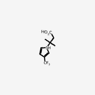 CC(C)(CC(=O)O)[SH]1C=CC(C(F)(F)F)=C1